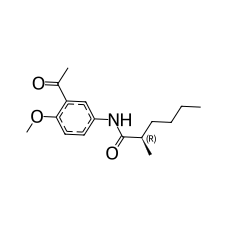 CCCC[C@@H](C)C(=O)Nc1ccc(OC)c(C(C)=O)c1